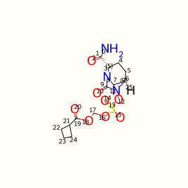 NC(=O)[C@@H]1CC[C@@H]2CN1C(=O)N2OS(=O)(=O)OCOC(=O)C1CCC1